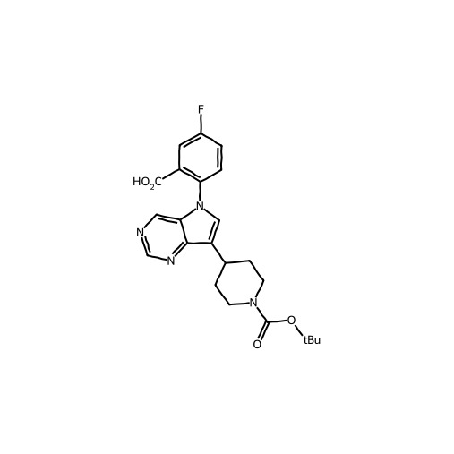 CC(C)(C)OC(=O)N1CCC(c2cn(-c3ccc(F)cc3C(=O)O)c3cncnc23)CC1